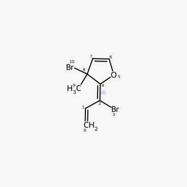 C=C/C(Br)=C1/OC=CC1(C)Br